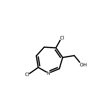 OCC1=C(Cl)CC=C(Cl)N=C1